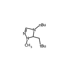 CCCCN1C=NN(C)C1CC(C)(C)C